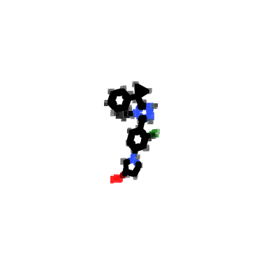 Cn1c(-c2ccc(N3CCC(O)C3)cc2Cl)nnc1C1(c2ccccc2)CC1